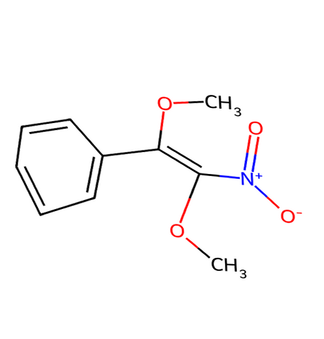 COC(=C(OC)[N+](=O)[O-])c1ccccc1